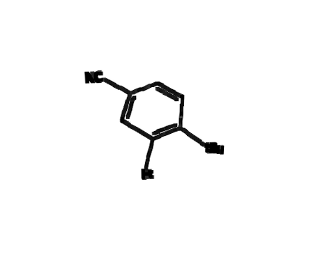 CCc1cc(C#N)ccc1C(C)(C)C